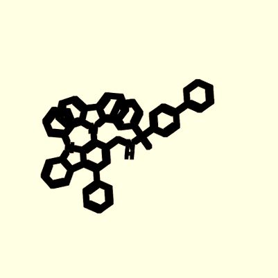 CC(NCc1cc(-c2ccccc2)c2c(c1-n1c3ccccc3c3ccccc31)N(c1ccccc1)C1C=CC=CC21)(c1ccccc1)c1ccc(C2=CC=CCC2)cc1